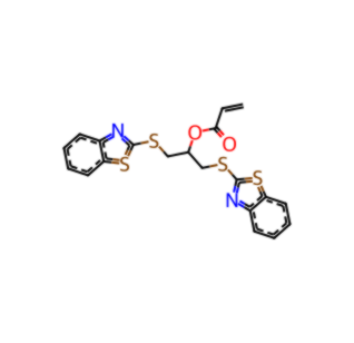 C=CC(=O)OC(CSc1nc2ccccc2s1)CSc1nc2ccccc2s1